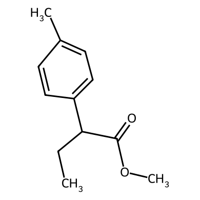 CCC(C(=O)OC)c1ccc(C)cc1